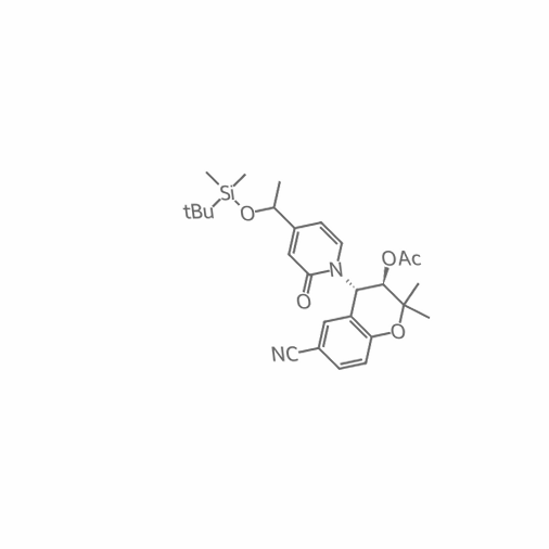 CC(=O)O[C@@H]1[C@@H](n2ccc(C(C)O[Si](C)(C)C(C)(C)C)cc2=O)c2cc(C#N)ccc2OC1(C)C